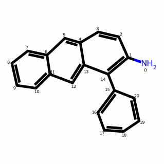 Nc1ccc2cc3ccccc3cc2c1-c1ccccc1